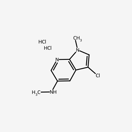 CNc1cnc2c(c1)c(Cl)cn2C.Cl.Cl